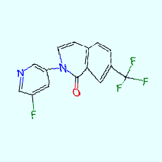 O=c1c2cc(C(F)(F)F)ccc2ccn1-c1cncc(F)c1